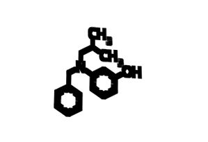 CC(C)CN(Cc1ccccc1)c1cccc(O)c1